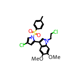 COc1cc2c(-c3cc(Cl)cn3S(=O)(=O)c3ccc(C)cc3)cn(CCCl)c2cc1OC